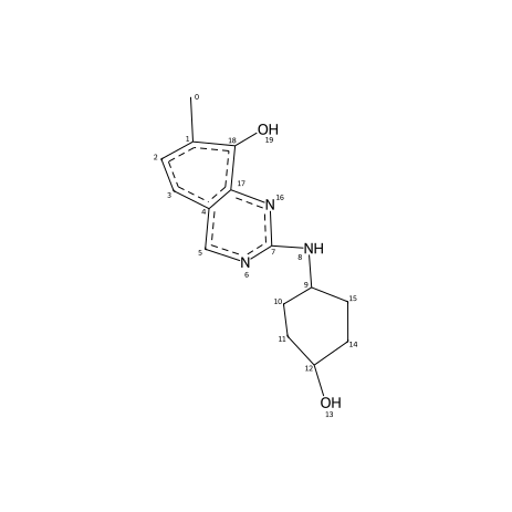 Cc1ccc2cnc(NC3CCC(O)CC3)nc2c1O